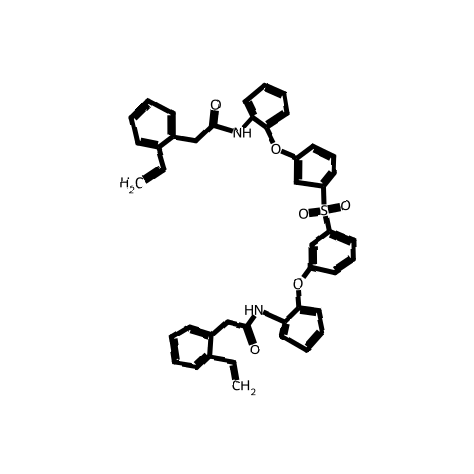 C=Cc1ccccc1CC(=O)Nc1ccccc1Oc1cccc(S(=O)(=O)c2cccc(Oc3ccccc3NC(=O)Cc3ccccc3C=C)c2)c1